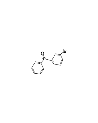 O=[P](c1ccccc1)c1cccc(Br)c1